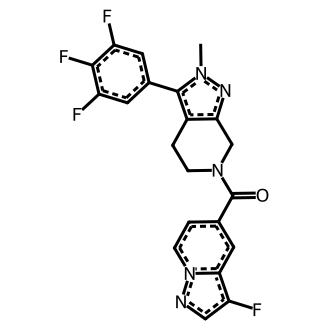 Cn1nc2c(c1-c1cc(F)c(F)c(F)c1)CCN(C(=O)c1ccn3ncc(F)c3c1)C2